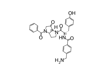 NCc1ccc(C(=O)N[C@@H](Cc2ccc(O)cc2)C(=O)N2CCC3[C@H]2C(=O)CN3C(=O)c2ccccc2)cc1